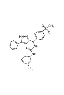 CS(=O)(=O)c1ccc(C(NC(=O)Nc2cccc(C(F)(F)F)c2)c2cc(-c3ccccc3)[nH]n2)cc1